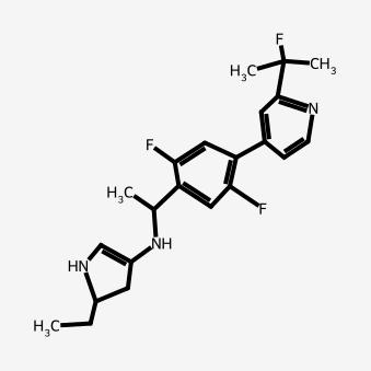 CCC1CC(NC(C)c2cc(F)c(-c3ccnc(C(C)(C)F)c3)cc2F)=CN1